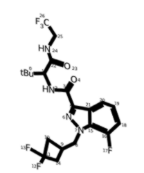 CC(C)(C)C(NC(=O)c1nn(CC2CC(F)(F)C2)c2c(F)cccc12)C(=O)NCC(F)(F)F